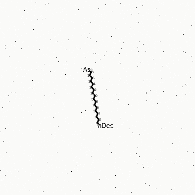 CCCCCCCCCCCCCCCCCCCCCCCCCCCC[As]